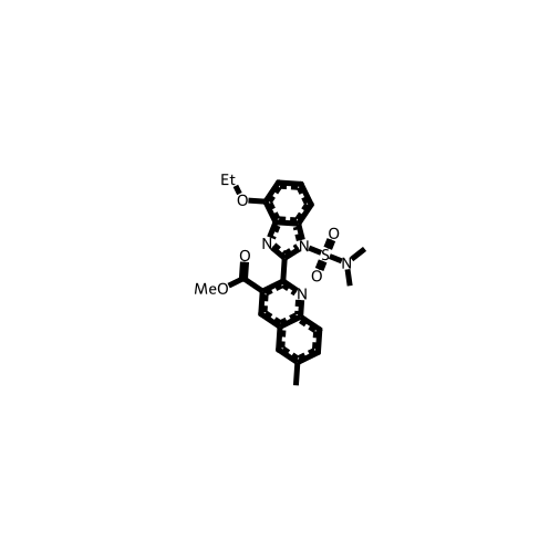 CCOc1cccc2c1nc(-c1nc3ccc(C)cc3cc1C(=O)OC)n2S(=O)(=O)N(C)C